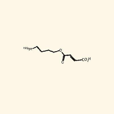 CCCCCCCCCCCOC(=O)C=CC(=O)O